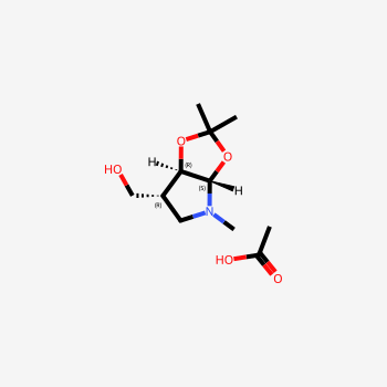 CC(=O)O.CN1C[C@H](CO)[C@H]2OC(C)(C)O[C@@H]21